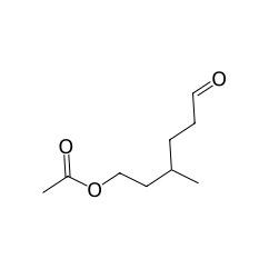 CC(=O)OCCC(C)CCC=O